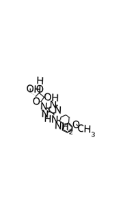 COc1cccc2c1CCC[C@@]2(N)Nc1ncnc2c1ncn2[C@@H]1O[C@H](CO)[C@@H](O)[C@H]1O